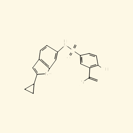 NC(=O)c1cc(S(=O)(=O)Nc2ccc3cc(C4CC4)[nH]c3c2)ccc1O